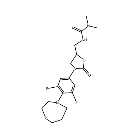 CN(C)C(=S)NCC1CN(c2cc(F)c(N3CCCSCC3)c(F)c2)C(=O)O1